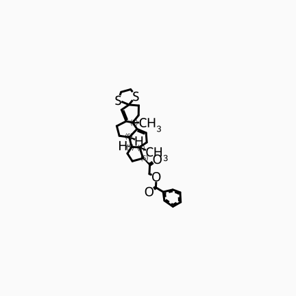 C[C@]12CCC3(C=C1CC[C@@H]1C2=CC[C@]2(C)[C@@H](C(=O)COC(=O)c4ccccc4)CC[C@@H]12)SCCS3